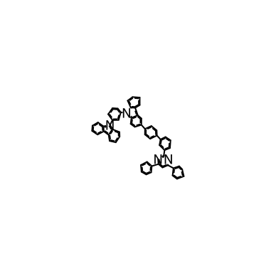 c1ccc(-c2cc(-c3ccccc3)nc(-c3cccc(-c4ccc(-c5ccc6c(c5)c5ccccc5n6-c5cccc(-n6c7ccccc7c7ccccc76)c5)cc4)c3)n2)cc1